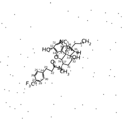 C=CCN1C(C#N)C[C@]23c4c5ccc(O)c4OC2C(N(C)C(=O)CCc2ccc(C(F)(F)F)cc2)CC[C@@]3(O)[C@H]1C5